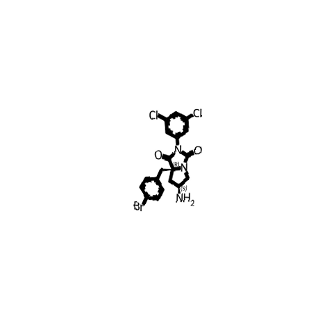 N[C@@H]1CN2C(=O)N(c3cc(Cl)cc(Cl)c3)C(=O)[C@@]2(Cc2ccc(Br)cc2)C1